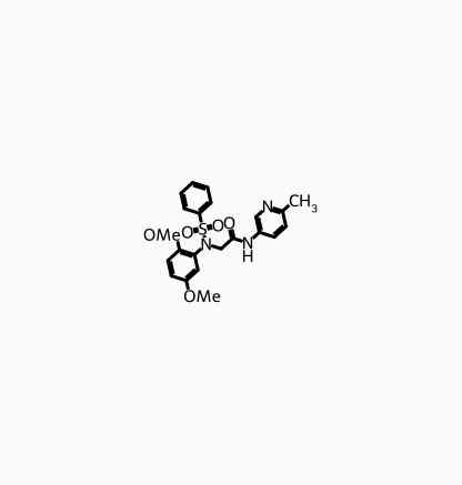 COc1ccc(OC)c(N(CC(=O)Nc2ccc(C)nc2)S(=O)(=O)c2ccccc2)c1